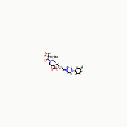 CC(=O)NC1(C(=O)N2CCC3(CC2)C[C@H](CCN2CCN(c4cccc(Cl)c4)CC2)OC3=O)COC1